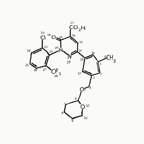 Cc1cc(COC2CCCCO2)cc(-c2cc(C(=O)O)c(=O)n(-c3c(Cl)cccc3C(F)(F)F)n2)c1